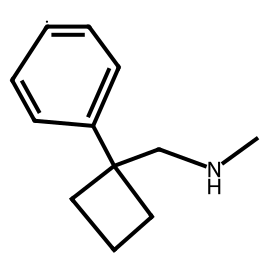 CNCC1(c2cc[c]cc2)CCC1